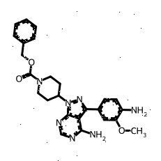 COc1cc(-c2nn(C3CCN(C(=O)OCc4ccccc4)CC3)c3ncnc(N)c23)ccc1N